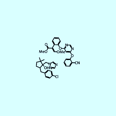 CC1(C)CCC(Cc2ccc(Cl)cc2)C1(O)Cn1cncn1.CO/C=C(/C(=O)OC)c1ccccc1Oc1cc(Oc2ccccc2C#N)ncn1